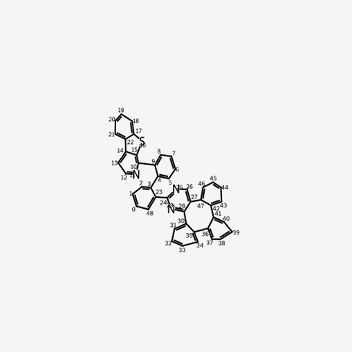 c1ccc(-c2ccccc2-c2nccc3c2sc2ccccc23)c(-c2ncc3c(n2)-c2ccccc2-c2ccccc2-c2ccccc2-3)c1